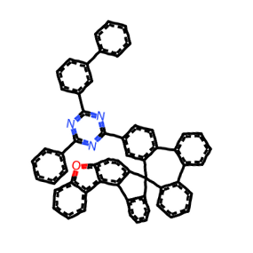 c1ccc(-c2cccc(-c3nc(-c4ccccc4)nc(-c4ccc5c(c4)C4(c6ccccc6-c6ccccc6-5)c5ccccc5-c5c4ccc4oc6ccccc6c54)n3)c2)cc1